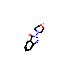 O=c1c2ccccc2nnn1N1CCOCC1